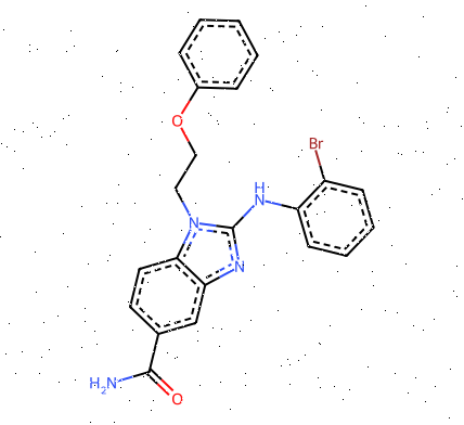 NC(=O)c1ccc2c(c1)nc(Nc1ccccc1Br)n2CCOc1ccccc1